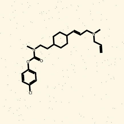 C=CCN(C)C/C=C/C1CCC(CCN(C)C(=O)Oc2ccc(Cl)cc2)CC1